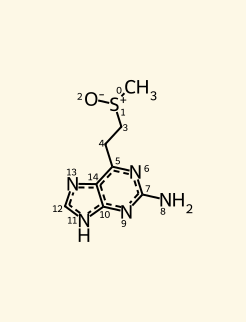 C[S+]([O-])CCc1nc(N)nc2[nH]cnc12